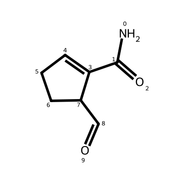 NC(=O)C1=CCCC1C=O